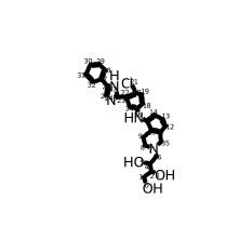 OCC(O)C(O)CN1CCc2c(cccc2Nc2ccc(Cl)c(-c3ncc(-c4ccccc4)[nH]3)c2)C1